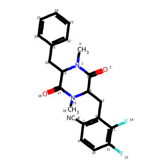 CN1C(=O)C(Cc2c(C#N)ccc(F)c2F)N(C)C(=O)C1Cc1ccccc1